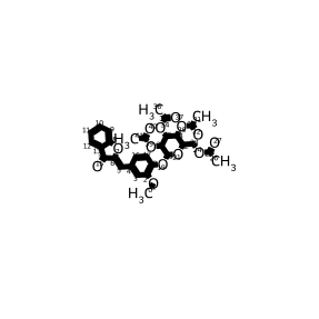 COc1cc(/C=C2\Oc3ccccc3C2=O)ccc1OC1OC(COC(C)=O)C(OC(C)=O)C(OC(C)=O)C1OC(C)=O